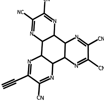 C#CC1=NC2C(N=C1C#N)C1N=C(C#N)C(C#N)=NC1C1N=C(C#N)C(C#N)=NC21